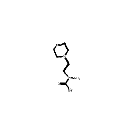 CCCC(=O)N(N)CCN1CCOCC1